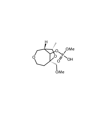 COC[C@]12CCOC[C@@H](C1OP(=O)(O)OC)[C@H](C)O2